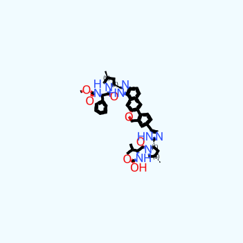 COC(=O)NC(C(=O)N1C[C@@H](C)C[C@H]1c1nc2ccc3cc4c(cc3c2[nH]1)OCc1cc(-c2cnc([C@@H]3C[C@H](C)CN3C(=O)C(NC(=O)O)C(C)C)[nH]2)ccc1-4)c1ccccc1